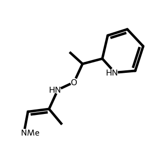 CN/C=C(\C)NOC(C)C1C=CC=CN1